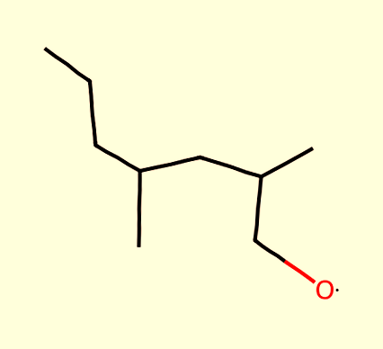 CCCC(C)CC(C)C[O]